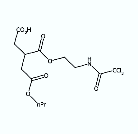 CCCOC(=O)CC(CC(=O)O)C(=O)OCCNC(=O)C(Cl)(Cl)Cl